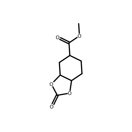 COC(=O)C1CCC2OC(=O)OC2C1